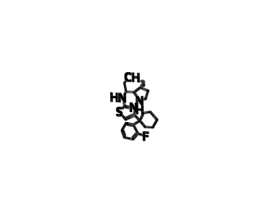 CCC(Nc1nc(C2(c3ccccc3F)CCCCC2)cs1)C1CCCN1